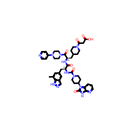 Cc1cc(C[C@H](NC(=O)N2CCC(n3c(=O)[nH]c4ncccc43)CC2)C(=O)N[C@H](CC2CCN(C(=O)CC(=O)O)CC2)C(=O)N2CCN(c3ccncc3)CC2)cc2cn[nH]c12